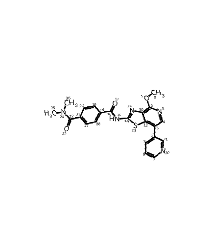 COc1ncc(-c2cccnc2)c2sc(NC(=O)c3ccc(C(=O)N(C)C)cc3)nc12